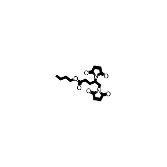 CCCCOC(=O)CCC(CN1C(=O)C=CC1=O)N1C(=O)C=CC1=O